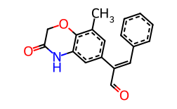 Cc1cc(/C(C=O)=C\c2ccccc2)cc2c1OCC(=O)N2